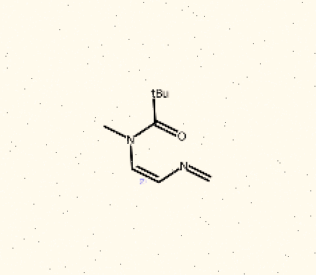 C=N/C=C\N(C)C(=O)C(C)(C)C